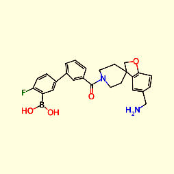 NCc1ccc2c(c1)C1(CCN(C(=O)c3cccc(-c4ccc(F)c(B(O)O)c4)c3)CC1)CO2